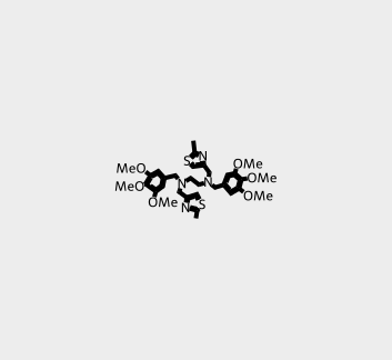 COc1cc(CN(CCN(Cc2cc(OC)c(OC)c(OC)c2)Cc2csc(C)n2)Cc2csc(C)n2)cc(OC)c1OC